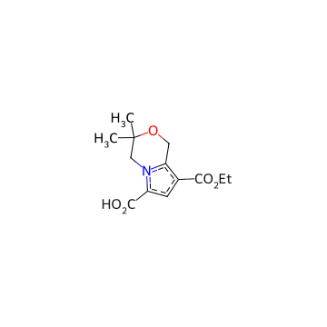 CCOC(=O)c1cc(C(=O)O)n2c1COC(C)(C)C2